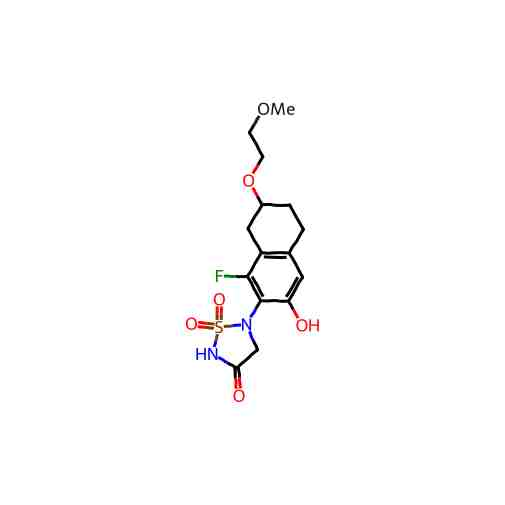 COCCOC1CCc2cc(O)c(N3CC(=O)NS3(=O)=O)c(F)c2C1